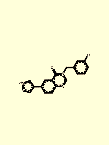 O=c1c2cc(-c3cn[nH]c3)ccc2ncn1Cc1cccc(Cl)c1